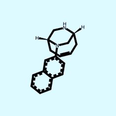 C1=CC[C@@H]2CN[C@H](C1)CN2c1ccc2ccccc2c1